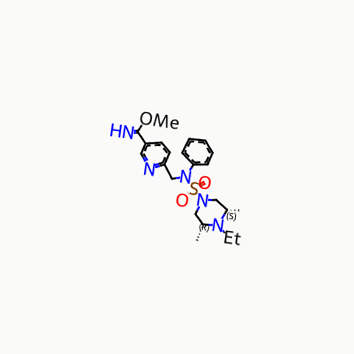 CCN1[C@H](C)CN(S(=O)(=O)N(Cc2ccc(C(=N)OC)cn2)c2ccccc2)C[C@@H]1C